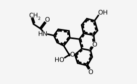 C=CC(=O)Nc1ccc(-c2c3ccc(=O)cc-3oc3cc(O)ccc23)c(C(=O)O)c1